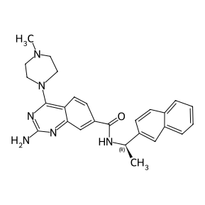 C[C@@H](NC(=O)c1ccc2c(N3CCN(C)CC3)nc(N)nc2c1)c1ccc2ccccc2c1